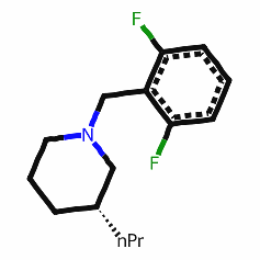 CCC[C@@H]1CCCN(Cc2c(F)cccc2F)C1